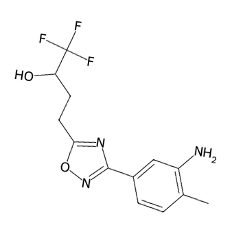 Cc1ccc(-c2noc(CCC(O)C(F)(F)F)n2)cc1N